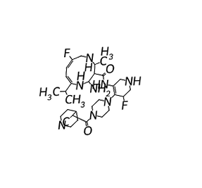 CC(C)/C1=C/C=C(/F)CNC(C)C(C(=O)NC2=C(N3CCN(C(=O)C4CN5CCC4CC5)CC3)C(F)CNC2)C(N)N1